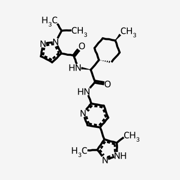 Cc1n[nH]c(C)c1-c1ccc(NC(=O)[C@@H](NC(=O)c2ccnn2C(C)C)[C@H]2CC[C@H](C)CC2)nc1